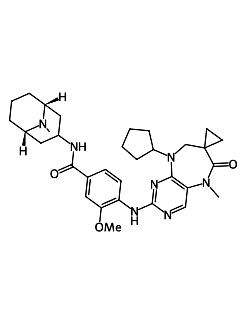 COc1cc(C(=O)NC2C[C@H]3CCC[C@@H](C2)N3C)ccc1Nc1ncc2c(n1)N(C1CCCC1)CC1(CC1)C(=O)N2C